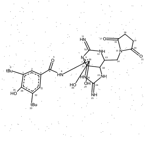 CC(C)(C)c1cc(C(=O)NC2CN3C(=N)NC(CN4C(=O)CCC4=O)C4NC(=N)NC43C2(O)O)cc(C(C)(C)C)c1O